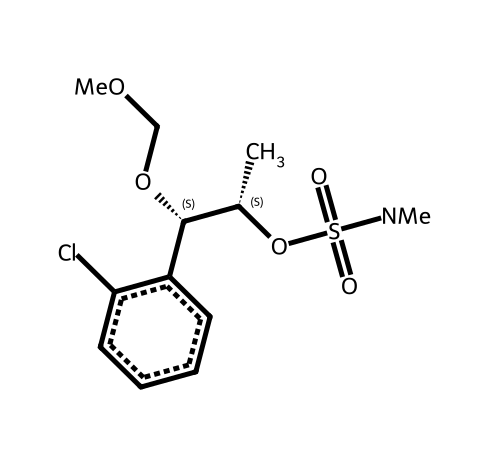 CNS(=O)(=O)O[C@@H](C)[C@@H](OCOC)c1ccccc1Cl